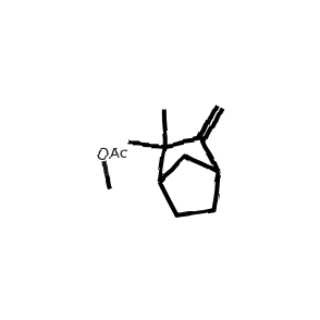 C=C1C2CCC(C2)C1(C)C.COC(C)=O